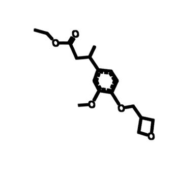 CCOC(=O)CC(C)c1ccc(OCC2COC2)c(OC)c1